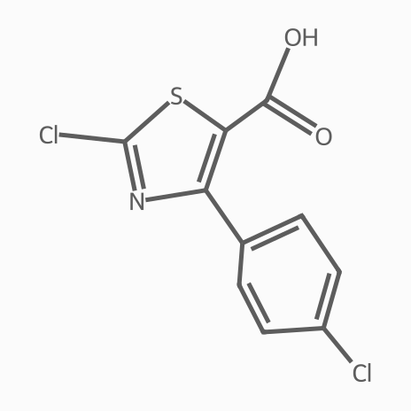 O=C(O)c1sc(Cl)nc1-c1ccc(Cl)cc1